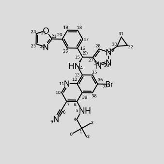 CC(C)(C)CNc1c(C#N)cnc2c(N[C@@H](c3cccc(-c4ncco4)c3)c3cn(C4CC4)nn3)cc(Br)cc12